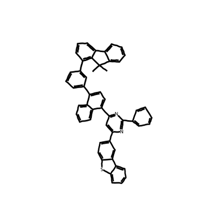 CC1(C)c2ccccc2-c2cccc(-c3cccc(-c4ccc(-c5cc(-c6ccc7sc8ccccc8c7c6)nc(-c6ccccc6)n5)c5ccccc45)c3)c21